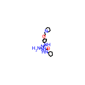 Nc1nc(Nc2ccc(OCCN3CCCCC3)cc2)n(C(=O)NC2CCCCC2)n1